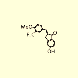 COc1ccc(/C=C2\Cc3cc(O)ccc3C2=O)cc1C(F)(F)F